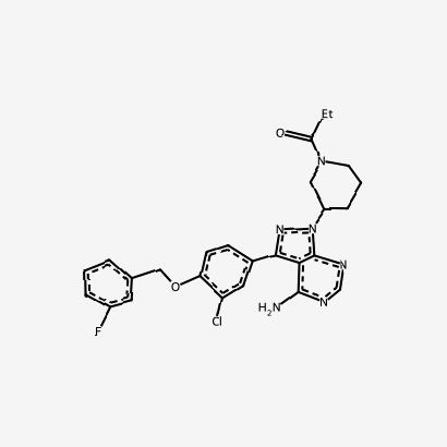 CCC(=O)N1CCCC(n2nc(-c3ccc(OCc4cccc(F)c4)c(Cl)c3)c3c(N)ncnc32)C1